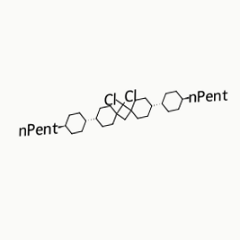 CCCCC[C@H]1CC[C@H](C2CCC3(CC2)CC2(CCC([C@H]4CC[C@H](CCCCC)CC4)CC2)C3(Cl)Cl)CC1